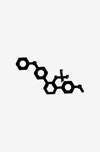 COc1ccc(C2=C(SC(F)(F)F)C(c3ccc(Oc4ccccc4)cc3)=CC[CH]2)cc1